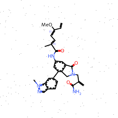 C=C/C(=C\C=C(/C)C(=O)Nc1cc2c(c(-c3ccc4cnn(C)c4c3)c1)CN(CC(=C)C(N)=O)C2=O)OC